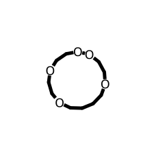 C1CCOCCOOCCOCCOC1